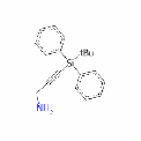 CC(C)(C)[Si](C#CCN)(c1ccccc1)c1ccccc1